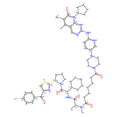 CC(=O)c1c(C)c2cnc(Nc3ccc(N4CCN(C(=O)CCCCCC(=O)N(C)C(C)C(=O)NC(C(=O)N5CCC[C@H]5c5nc(C(=O)c6ccc(F)cc6)cs5)C5CCCCC5)CC4)cn3)nc2n(C2CCCC2)c1=O